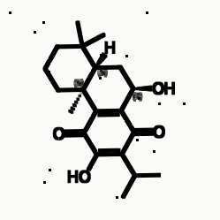 CC(C)C1=C(O)C(=O)C2=C(C1=O)[C@H](O)C[C@H]1C(C)(C)CCC[C@]21C